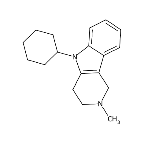 CN1CCc2c(c3ccccc3n2C2CCCCC2)C1